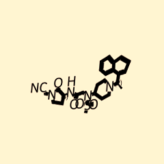 C[C@H](c1cccc2ccccc12)N1CCC(N(CC(=O)N[C@H]2CCN(CC#N)C2=O)S(C)(=O)=O)CC1